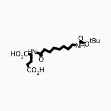 CC(C)(C)OC(=O)NCCCCCCCC(=O)NC(CCC(=O)O)C(=O)O